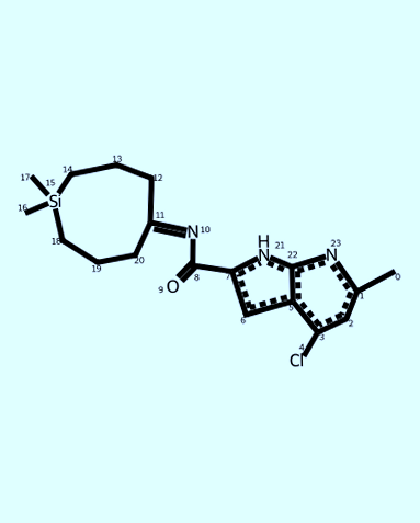 Cc1cc(Cl)c2cc(C(=O)N=C3CCC[Si](C)(C)CCC3)[nH]c2n1